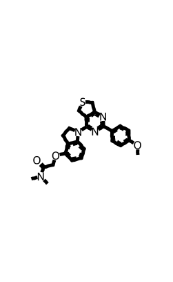 COc1ccc(-c2nc3c(c(N4CCc5c(OCC(=O)N(C)C)cccc54)n2)CSC3)cc1